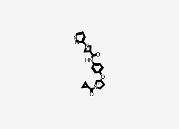 O=C(Nc1ccc(O[C@@H]2CCN(C(=O)C3CC3)C2)cc1)C1CN(c2cccnn2)C1